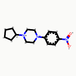 O=[N+]([O-])c1ccc(N2CCN(C3CCCC3)CC2)cc1